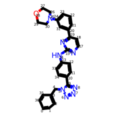 c1ccc(Cn2nnnc2-c2ccc(Nc3nccc(-c4cccc(N5CCOCC5)c4)n3)cc2)cc1